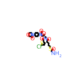 NCC(=O)SCCCCC(=O)N(C[C@H]1CN(c2ccc(N3CCOCC3=O)cc2)C(=O)O1)C(=O)c1ccc(Cl)s1